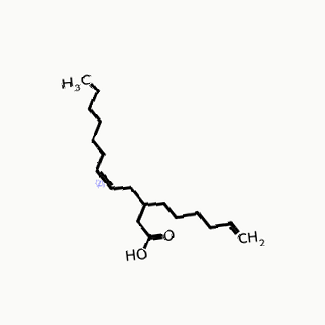 C=CCCCCC(C/C=C\CCCCCC)CC(=O)O